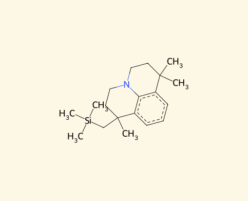 CC1(C)CCN2CCC(C)(C[Si](C)(C)C)c3cccc1c32